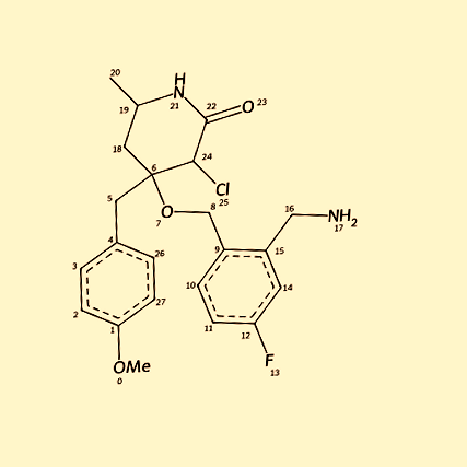 COc1ccc(CC2(OCc3ccc(F)cc3CN)CC(C)NC(=O)C2Cl)cc1